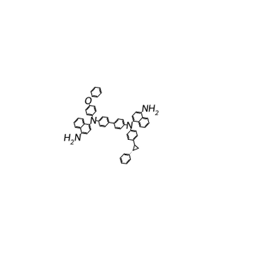 Nc1ccc(N(c2ccc(Oc3ccccc3)cc2)c2ccc(-c3ccc(N(c4ccc(C5C[C@@H]5c5ccccc5)cc4)c4ccc(N)c5ccccc45)cc3)cc2)c2ccccc12